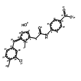 Cl.Cn1c(CC(=O)Nc2ccc([N+](=O)[O-])cc2)cs/c1=N/c1ccc(F)c(Cl)c1